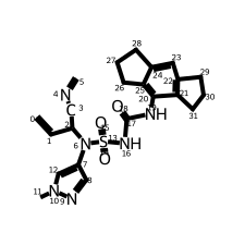 C=CC(CN=C)N(c1cnn(C)c1)S(=O)(=O)NC(=O)Nc1c2c(cc3c1CCC3)CCC2